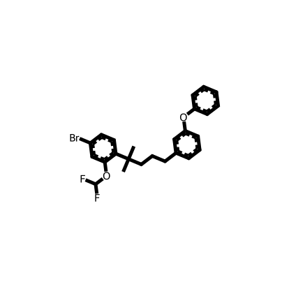 CC(C)(CCCc1cccc(Oc2ccccc2)c1)c1ccc(Br)cc1OC(F)F